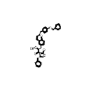 CCO[C@@H](Cc1ccc2c(c1)C=C[C@@H](Cc1ccc(OCc3ccccc3)cc1)O2)C(=O)N1C(=O)OC[C@@H]1Cc1ccccc1